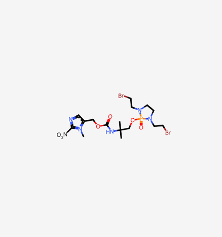 Cn1c(COC(=O)NC(C)(C)COP2(=O)N(CCBr)CCN2CCBr)cnc1[N+](=O)[O-]